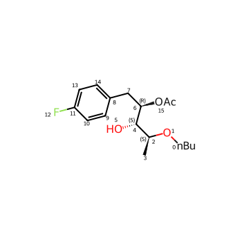 CCCCO[C@@H](C)[C@H](O)[C@@H](Cc1ccc(F)cc1)OC(C)=O